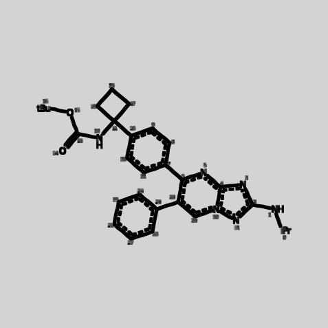 CC(C)Nc1nc2nc(-c3ccc(C4(NC(=O)OC(C)(C)C)CCC4)cc3)c(-c3ccccc3)cn2n1